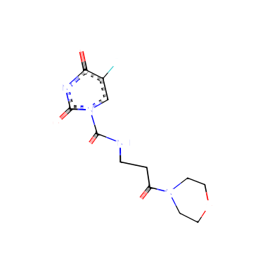 O=C(CCNC(=O)n1cc(F)c(=O)[nH]c1=O)N1CCOCC1